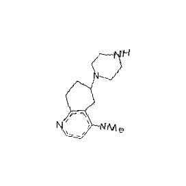 CNc1ccnc2c1CC(N1CCNCC1)CC2